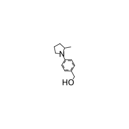 CC1CCCN1c1ccc(CO)cc1